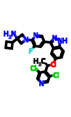 C[C@@H](Oc1ccc2[nH]nc(-c3cnc(N4CC(N)(C5CCC5)C4)c(F)c3)c2c1)c1c(Cl)cncc1Cl